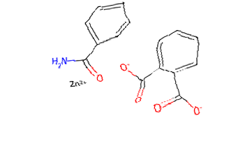 NC(=O)c1ccccc1.O=C([O-])c1ccccc1C(=O)[O-].[Zn+2]